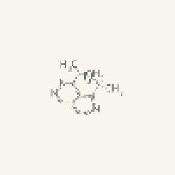 CC(C)c1nccc2cnnc(C(C)C)c12